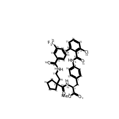 COC(=O)[C@H](Cc1ccc(NC(=O)c2c(Cl)cccc2Cl)cc1)NC(=O)C1(CCNC(=O)c2cccc(C(F)(F)F)c2)CCCC1